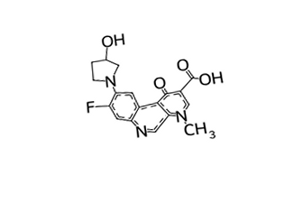 Cn1cc(C(=O)O)c(=O)c2c3cc(N4CCC(O)C4)c(F)cc3ncc21